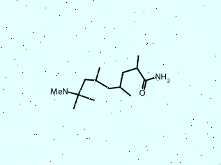 CNC(C)(C)CC(C)CC(C)CC(C)C(N)=O